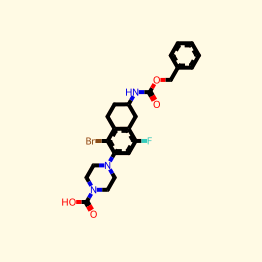 O=C(NC1CCc2c(Br)c(N3CCN(C(=O)O)CC3)cc(F)c2C1)OCc1ccccc1